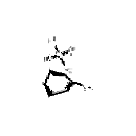 Cc1ccccc1.O[Si](O)(O)O